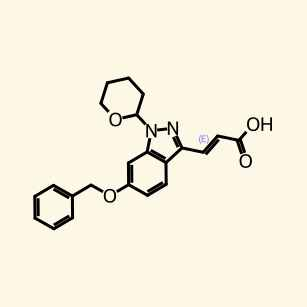 O=C(O)/C=C/c1nn(C2CCCCO2)c2cc(OCc3ccccc3)ccc12